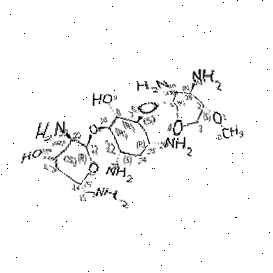 CO[C@@H]1CO[C@H](O[C@@H]2[C@@H](O)[C@H](O[C@H]3O[C@H](CN)C[C@H](O)[C@H]3N)[C@@H](N)C[C@H]2N)[C@H](N)[C@H]1N